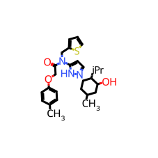 CC1CCC(C(C)C)C(O)C1.Cc1ccc(OCC(=O)N(Cc2cccs2)c2ccn[nH]2)cc1